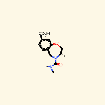 C[C@H]1COc2cc(C(=O)O)ccc2CN1C(=O)N(C)C